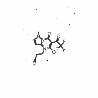 Cn1ccc2n1c(=O)c(C(=O)C(F)(F)F)c([O-])[n+]2CCC#N